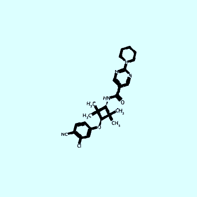 CC1(C)[C@H](NC(=O)c2cnc(N3CCCCC3)nc2)C(C)(C)[C@H]1Oc1ccc(C#N)c(Cl)c1